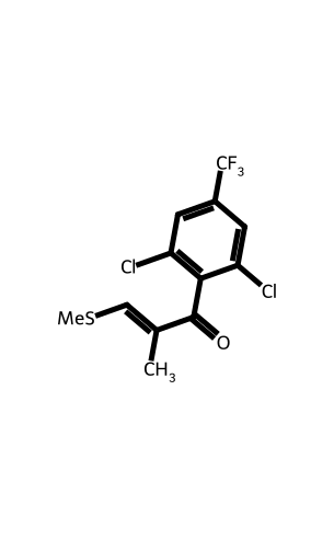 CSC=C(C)C(=O)c1c(Cl)cc(C(F)(F)F)cc1Cl